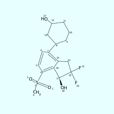 CS(=O)(=O)c1ccc(C2CCCC(O)C2)c2c1[C@H](O)C(F)(F)C2